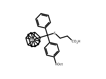 CCCCCCCCc1ccc(C(SCCC(=O)O)(c2ccccc2)[C]23[CH]4[CH]5[CH]6[CH]2[Fe]56432789[CH]3[CH]2[CH]7[CH]8[CH]39)cc1